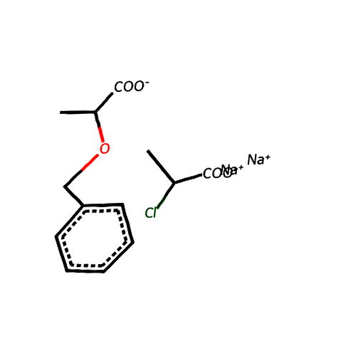 CC(Cl)C(=O)[O-].CC(OCc1ccccc1)C(=O)[O-].[Na+].[Na+]